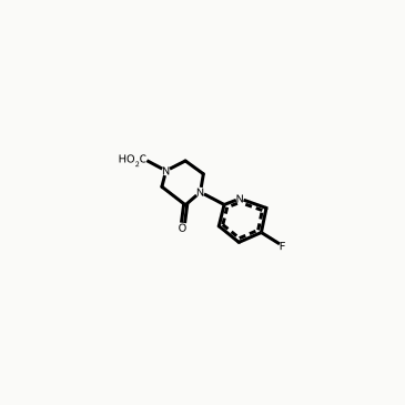 O=C(O)N1CCN(c2ccc(F)cn2)C(=O)C1